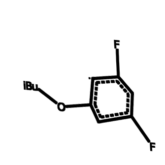 CCC(C)Oc1[c]c(F)cc(F)c1